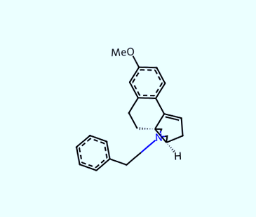 COc1ccc2c(c1)CC[C@]13CN(Cc4ccccc4)C[C@H]1CC=C23